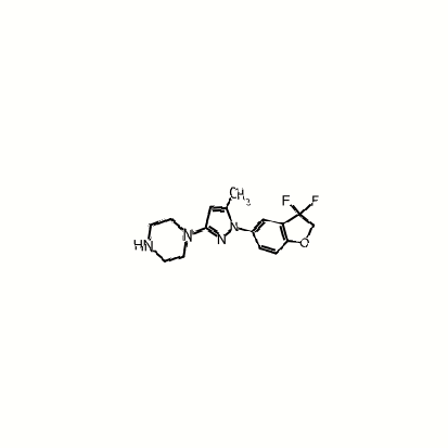 Cc1cc(N2CCNCC2)nn1-c1ccc2c(c1)C(F)(F)CO2